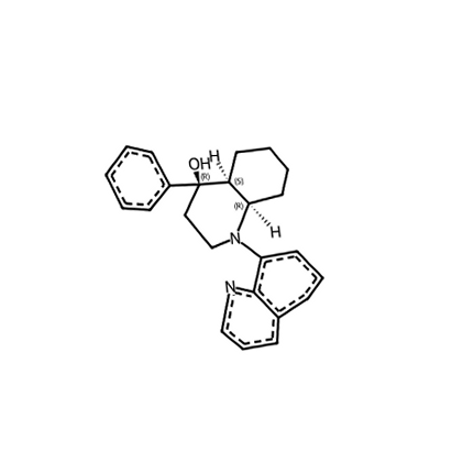 O[C@]1(c2ccccc2)CCN(c2cccc3cccnc23)[C@@H]2CCCC[C@@H]21